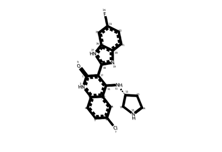 O=c1[nH]c2ccc(Cl)cc2c(N[C@@H]2CCNC2)c1-c1nc2ccc(F)cc2[nH]1